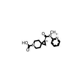 CN(C(=O)[C@H]1CC12CCN(C(=O)O)CC2)c1ccccn1